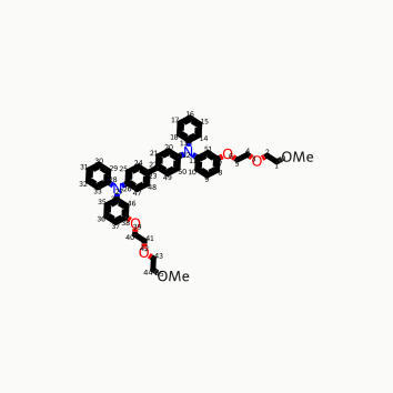 COCCOCCOc1cccc(N(c2ccccc2)c2ccc(-c3ccc(N(c4ccccc4)c4cccc(OCCOCCOC)c4)cc3)cc2)c1